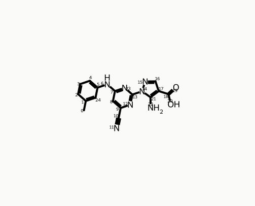 Cc1cccc(Nc2cc(C#N)nc(-n3ncc(C(=O)O)c3N)n2)c1